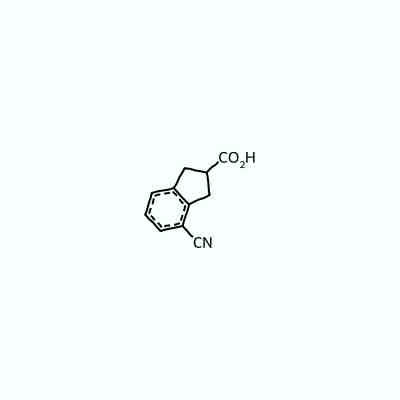 N#Cc1cccc2c1CC(C(=O)O)C2